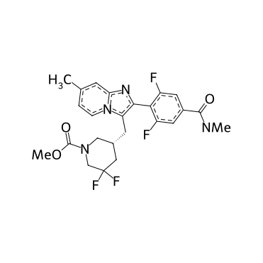 CNC(=O)c1cc(F)c(-c2nc3cc(C)ccn3c2C[C@H]2CN(C(=O)OC)CC(F)(F)C2)c(F)c1